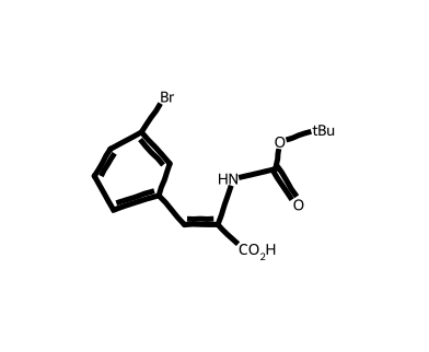 CC(C)(C)OC(=O)N/C(=C\c1cccc(Br)c1)C(=O)O